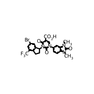 Cn1c(=O)n(C)c2cc(-n3cc(C(=O)O)c(=O)n(C4CCc5c4cc(Br)cc5C(F)(F)F)c3=O)ccc21